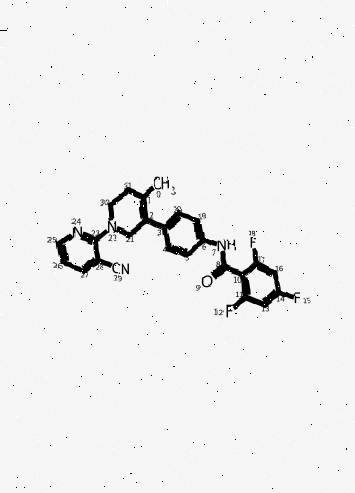 CC1=C(c2ccc(NC(=O)c3c(F)cc(F)cc3F)cc2)CN(c2ncccc2C#N)CC1